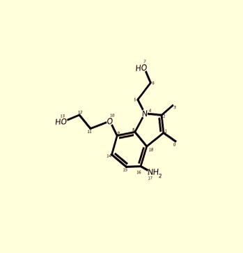 Cc1c(C)n(CCO)c2c(OCCO)ccc(N)c12